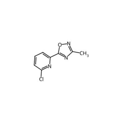 Cc1noc(-c2cccc(Cl)n2)n1